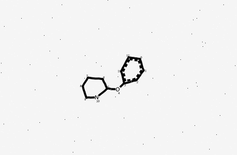 c1ccc(OC2CCCC[N]2)cc1